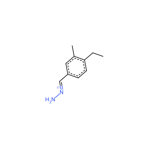 CCc1ccc(/C=N/N)cc1C